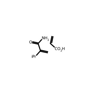 C=C(C(N)=O)C(C)C.C=CC(=O)O